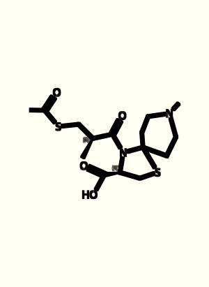 CC(=O)SC[C@H](C)C(=O)N1[C@H](C(=O)O)CSC12CCN(C)CC2